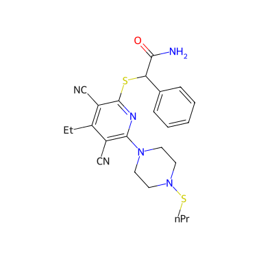 CCCSN1CCN(c2nc(SC(C(N)=O)c3ccccc3)c(C#N)c(CC)c2C#N)CC1